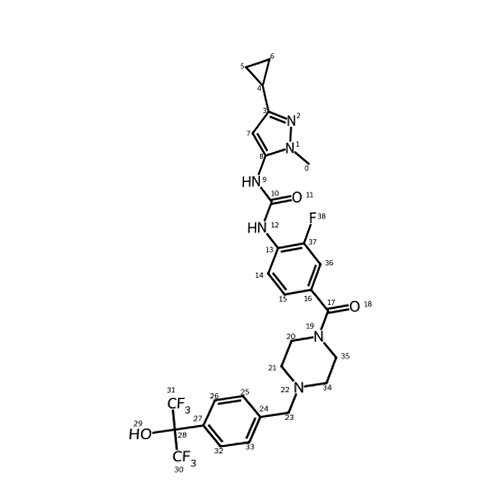 Cn1nc(C2CC2)cc1NC(=O)Nc1ccc(C(=O)N2CCN(Cc3ccc(C(O)(C(F)(F)F)C(F)(F)F)cc3)CC2)cc1F